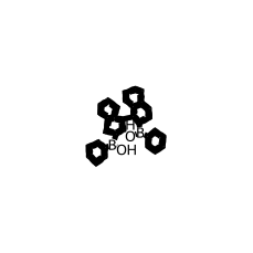 OB(c1ccccc1)c1cc(-c2c(B(O)c3ccccc3)ccc3ccccc23)c2ccccc2c1